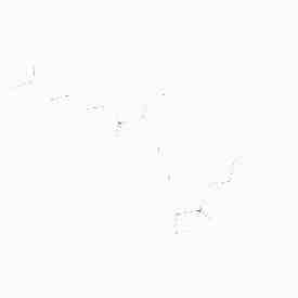 CCCCCCCCCCC(SCCSC(CCCCCCCCCC)C(=O)NCCCN(C)C)C(=O)NCCCN(C)C